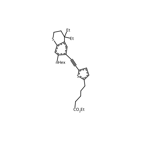 CCCCCCc1cc2c(cc1C#Cc1ccc(CCCCC(=O)OCC)s1)C(CC)(CC)CCS2